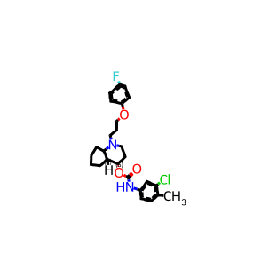 Cc1ccc(NC(=O)O[C@H]2CCN(CCCOc3ccc(F)cc3)C3CCCC[C@H]32)cc1Cl